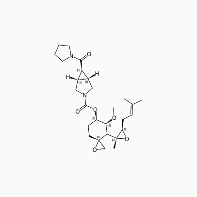 CO[C@H]1C([C@@]2(C)O[C@@H]2CC=C(C)C)[C@]2(CC[C@H]1OC(=O)N1C[C@@H]3[C@H](C1)[C@H]3C(=O)N1CCCC1)CO2